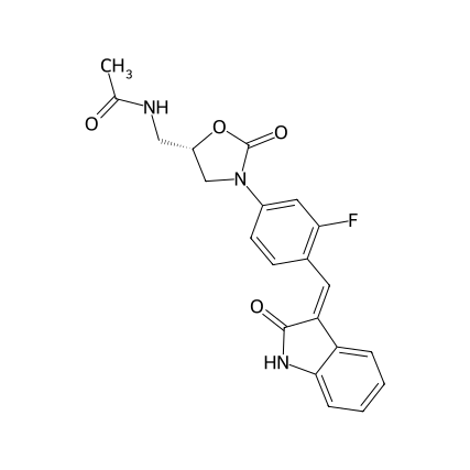 CC(=O)NC[C@H]1CN(c2ccc(C=C3C(=O)Nc4ccccc43)c(F)c2)C(=O)O1